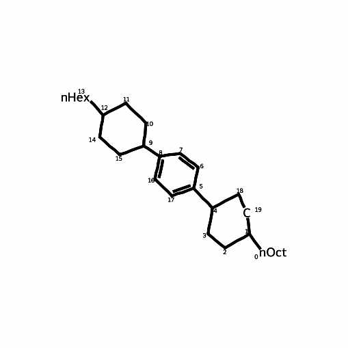 CCCCCCCCC1CCC(c2ccc(C3CCC(CCCCCC)CC3)cc2)CC1